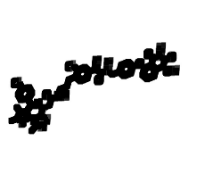 Cc1sc2c(c1C)C(c1ccc(Cl)cc1)=N[C@@H](CC(=O)NCCCc1ccc(NC(=O)NCc3ccc(Oc4cccc5c4C(=O)NC(=O)C5O)cc3)cc1Cl)c1nnc(C)n1-2